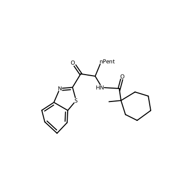 CCCCCC(NC(=O)C1(C)CCCCC1)C(=O)c1nc2ccccc2s1